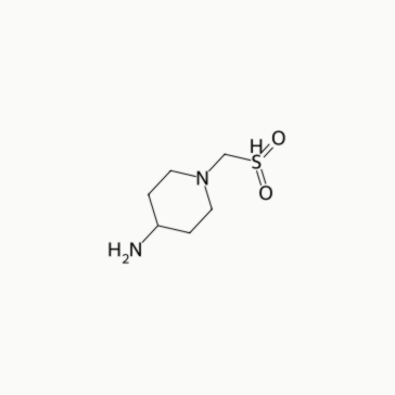 NC1CCN(C[SH](=O)=O)CC1